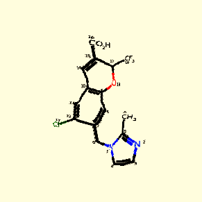 Cc1nccn1Cc1cc2c(cc1Cl)C=C(C(=O)O)C(C(F)(F)F)O2